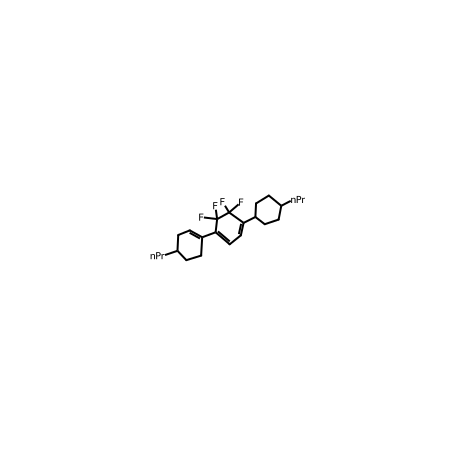 CCCC1CC=C(C2=CC=C(C3CCC(CCC)CC3)C(F)(F)C2(F)F)CC1